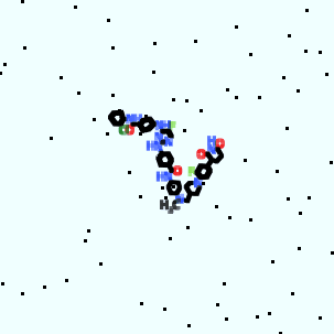 CN(CC1CCN(c2ccc(C3CCC(=O)NC3=O)cc2F)CC1)C1CCC(NC(=O)c2ccc(Nc3ncc(F)c(Nc4ccc(C(=O)Nc5ccccc5Cl)cc4)n3)cc2)CC1